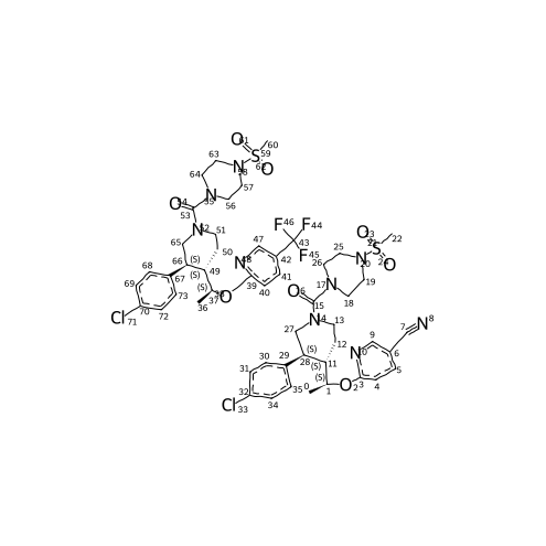 C[C@H](Oc1ccc(C#N)cn1)[C@H]1CCN(C(=O)N2CCN(S(C)(=O)=O)CC2)C[C@@H]1c1ccc(Cl)cc1.C[C@H](Oc1ccc(C(F)(F)F)cn1)[C@H]1CCN(C(=O)N2CCN(S(C)(=O)=O)CC2)C[C@@H]1c1ccc(Cl)cc1